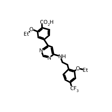 CCOc1cc(C(F)(F)F)ccc1CCNc1cc(-c2ccc(C(=O)O)c(OCC)c2)ncn1